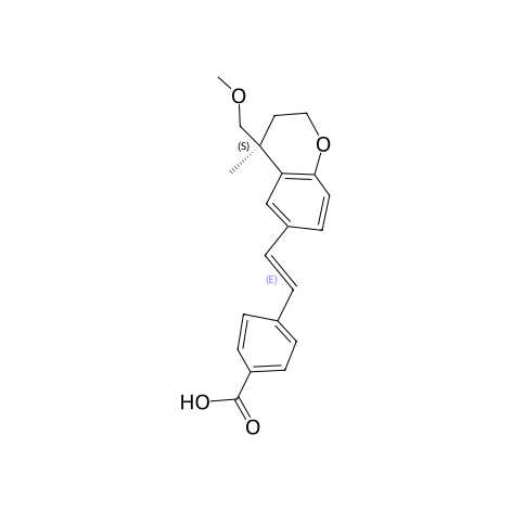 COC[C@@]1(C)CCOc2ccc(/C=C/c3ccc(C(=O)O)cc3)cc21